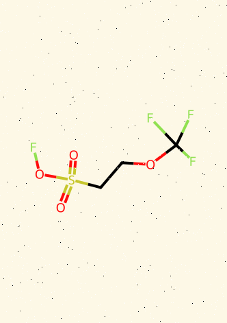 O=S(=O)(CCOC(F)(F)F)OF